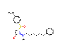 COc1ccc([S+]([O-])C2CC(=O)N2N(CCCCCCc2ccccc2)C(C)=O)cc1